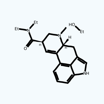 CCN(CC)C(=O)[C@@H]1C=C2c3cccc4[nH]cc(c34)C[C@H]2N(C)C1.[CH2]CO